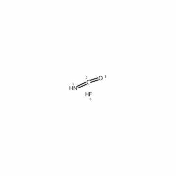 F.N=C=O